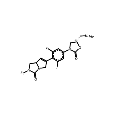 CCN1CC2C=C(c3c(F)cc(N4C[C@H](CNC(C)=O)OC4=O)cc3F)CN2C1=O